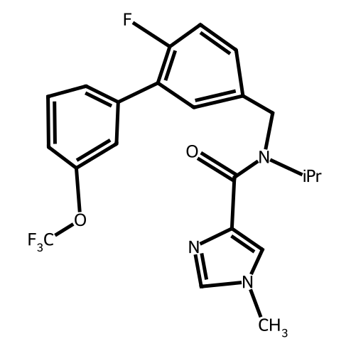 CC(C)N(Cc1ccc(F)c(-c2cccc(OC(F)(F)F)c2)c1)C(=O)c1cn(C)cn1